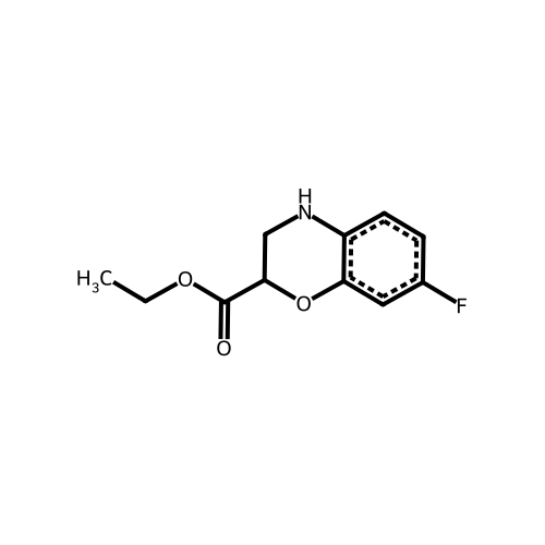 CCOC(=O)C1CNc2ccc(F)cc2O1